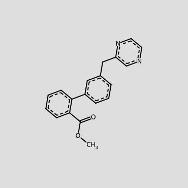 COC(=O)c1ccccc1-c1cccc(Cc2cnccn2)c1